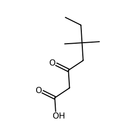 CCC(C)(C)CC(=O)CC(=O)O